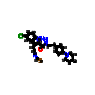 O=C(NCCc1ccc(N2CCCCC2)cc1)c1[nH]c2ccc(Cl)cc2c1CCN=C=S